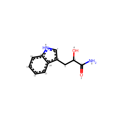 NC(=O)[C](O)Cc1c[nH]c2ccccc12